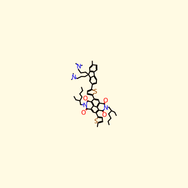 CCCCC(CC)CN1C(=O)c2cc(-c3ccc(-c4ccc5c(c4)C(CCCN(C)C)(CCCN(C)C)c4cc(C)ccc4-5)s3)c3c4c(cc(-c5ccc(C)s5)c(c24)C1=O)C(=O)N(CC(CC)CCCC)C3=O